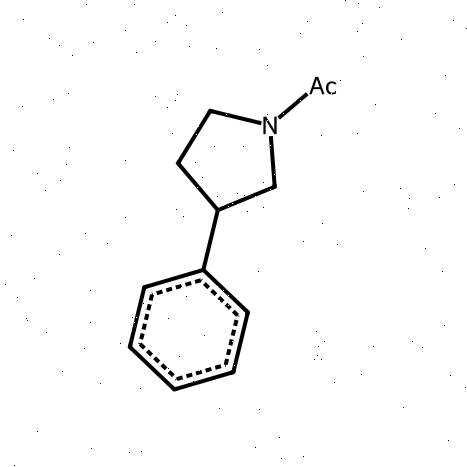 [CH2]C(=O)N1CCC(c2ccccc2)C1